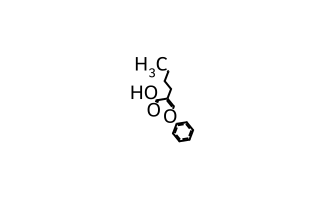 CCCCC(=COc1ccccc1)C(=O)O